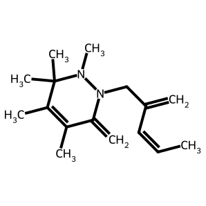 C=C(/C=C\C)CN1C(=C)C(C)=C(C)C(C)(C)N1C